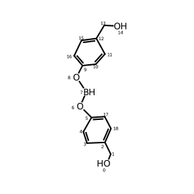 OCc1ccc(OBOc2ccc(CO)cc2)cc1